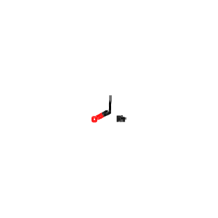 CC=O.[Rh]